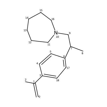 C=C(C)c1ccc(C(C)CN2CCCCCC2)cc1